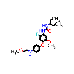 CCC(CC)NC(=O)Nc1cc(OC)c(Oc2ccc(NCCOC)cc2)cc1F